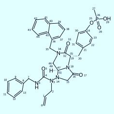 C=CCN(C(=O)NCc1ccccc1)N1CC(=O)N2[C@@H](Cc3ccc(OP(C)(=O)O)cc3)C(=O)N(Cc3cccc4ccccc34)C[C@@H]21